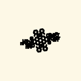 CCCN(CCC)C(=O)C(CS)N1C(=O)c2cc(Oc3ccccc3C)c3c4c(Oc5ccccc5C)cc5c6c(cc(Oc7ccccc7C)c(c7c(Oc8ccccc8C)cc(c2c37)C1=O)c64)C(=O)N(C(CS)C(=O)N(CCC)CCC)C5=O